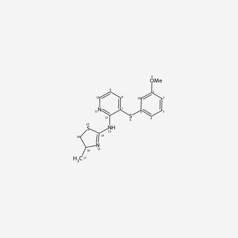 COc1cccc(Sc2cccnc2NC2=NC(C)CS2)c1